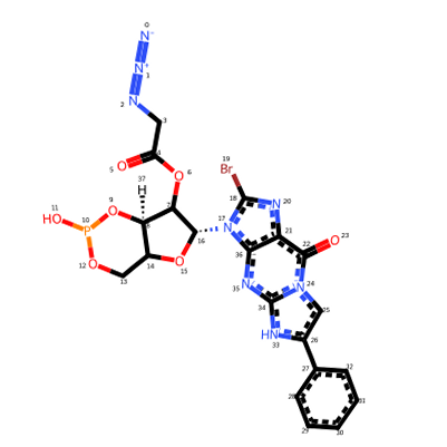 [N-]=[N+]=NCC(=O)OC1[C@@H]2OP(O)OCC2O[C@H]1n1c(Br)nc2c(=O)n3cc(-c4ccccc4)[nH]c3nc21